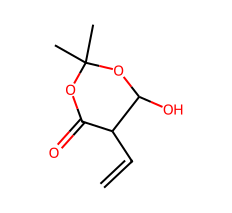 C=CC1C(=O)OC(C)(C)OC1O